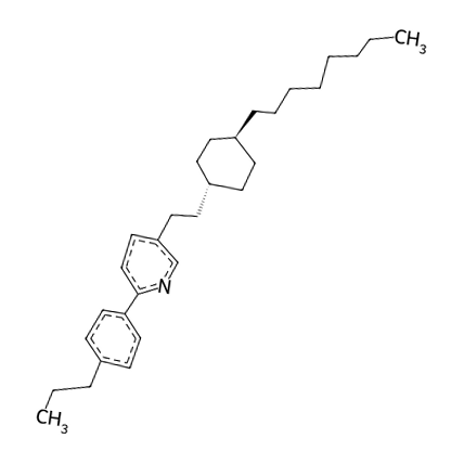 CCCCCCCC[C@H]1CC[C@H](CCc2ccc(-c3ccc(CCC)cc3)nc2)CC1